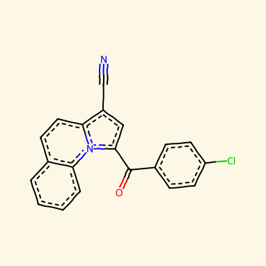 N#Cc1cc(C(=O)c2ccc(Cl)cc2)n2c1ccc1ccccc12